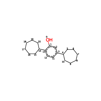 Oc1cc(C2CCCCCC2)ccc1C1CCCCCC1